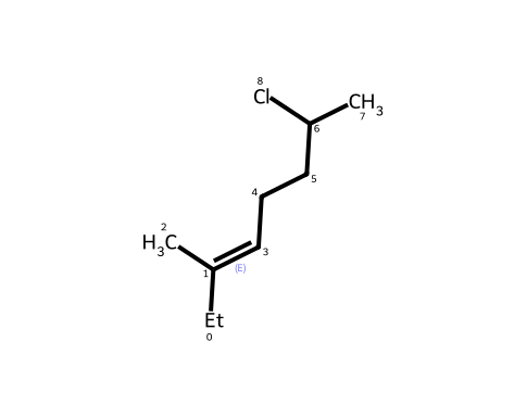 CC/C(C)=C/CCC(C)Cl